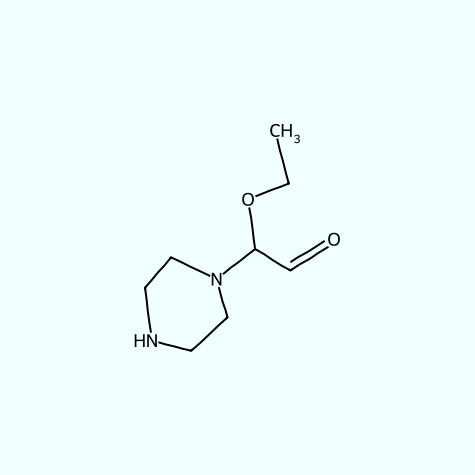 CCOC(C=O)N1CCNCC1